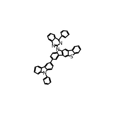 c1ccc(-c2nc(-n3c4ccc(-c5ccc6c(c5)c5ccccc5n6-c5ccccc5)cc4c4cc5sc6ccccc6c5cc43)nc3ccccc23)cc1